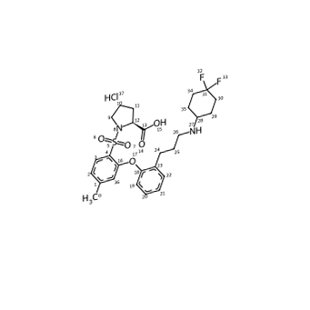 Cc1ccc(S(=O)(=O)N2CCC[C@H]2C(=O)O)c(Oc2ccccc2CCCNC2CCC(F)(F)CC2)c1.Cl